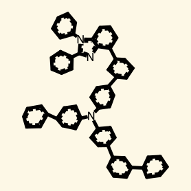 c1ccc(-c2ccc(N(c3ccc(-c4cccc(-c5ccccc5)c4)cc3)c3ccc(-c4cccc(-c5cccc6c5nc(-c5ccccc5)n6-c5ccccc5)c4)cc3)cc2)cc1